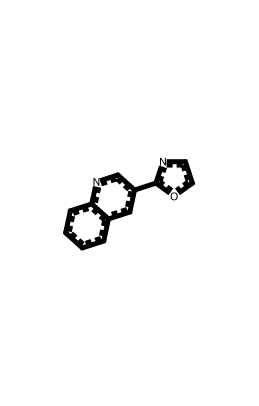 c1ccc2ncc(-c3ncco3)cc2c1